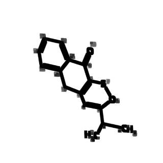 CC(C)C1=CC2=C(SO1)C(=O)c1ccccc1C2